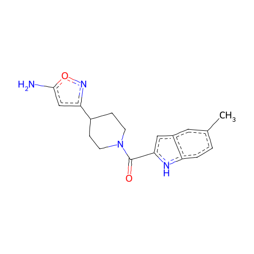 Cc1ccc2[nH]c(C(=O)N3CCC(c4cc(N)on4)CC3)cc2c1